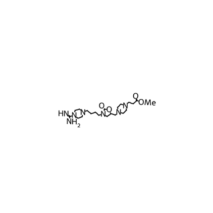 COC(=O)CCN1CCN(CC2CN(CCCCN3CCN(C(=N)N)CC3)C(=O)O2)CC1